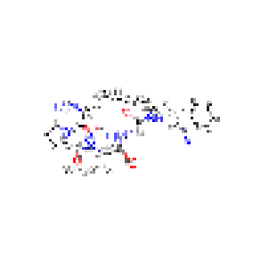 N[C@@H](CC(=O)O)C(=O)N1CCC[C@H]1C(=O)N[C@@H](CC(=O)O)C(=O)NCC(=O)N[C@@H](Cc1c[nH]c2ccccc12)C(=O)O